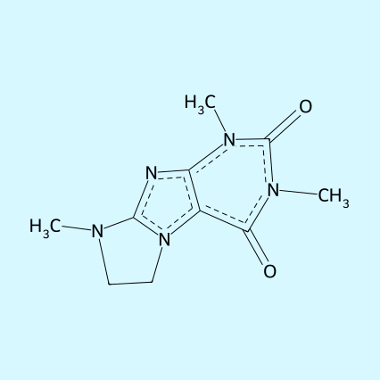 CN1CCn2c1nc1c2c(=O)n(C)c(=O)n1C